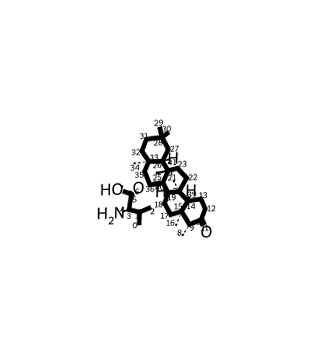 CC(C)[C@H](N)C(=O)O.C[C@H]1C(=O)CC[C@@H]2[C@]1(C)CC[C@H]1[C@@]2(C)CC[C@@]2(C)[C@@H]3CC(C)(C)CC[C@]3(C)CC[C@]12C